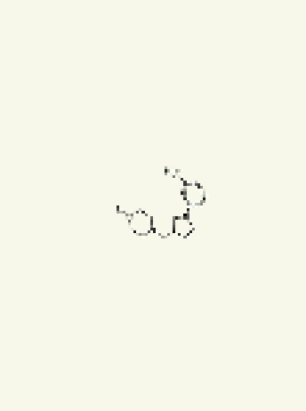 Cc1cccc(N2CCC(CN3CCN(I)CC3)C2)c1